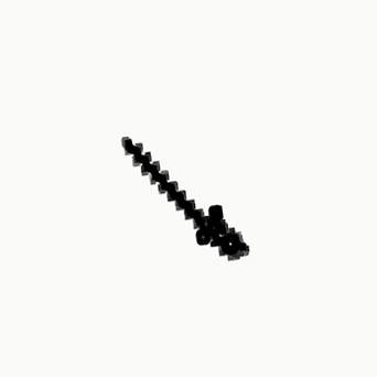 CCCCCCCCCCCCCCCCCCOC(=O)C(Cc1ccc(C)cc1)N=C=O